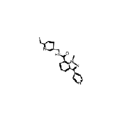 CCc1ccc(CNC(=O)c2cccc3c(-c4ccncc4)nn(C)c23)cn1